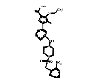 COC(=O)c1sc(-c2cccc(NC3CCN(S(=O)(=O)Cc4ccccc4[N+](=O)[O-])CC3)c2)c(C)c1OCC(=O)O